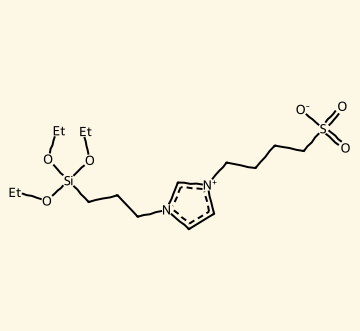 CCO[Si](CCCn1cc[n+](CCCCS(=O)(=O)[O-])c1)(OCC)OCC